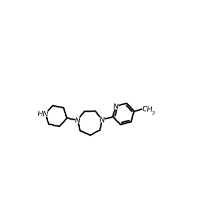 Cc1ccc(N2CCCN(C3CCNCC3)CC2)nc1